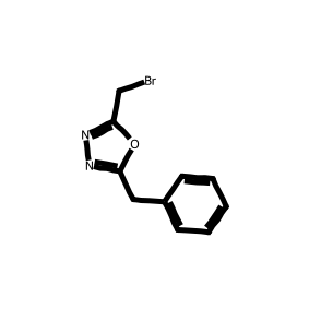 BrCc1nnc(Cc2ccccc2)o1